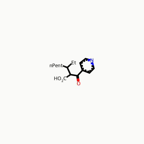 CCCCCC(CC)C(C(=O)O)C(=O)c1ccncc1